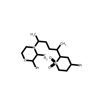 CC(C)C1CCS(=O)(=O)C(C(C)CCC(C)N2CCOC(C(C)C)C2C)C1